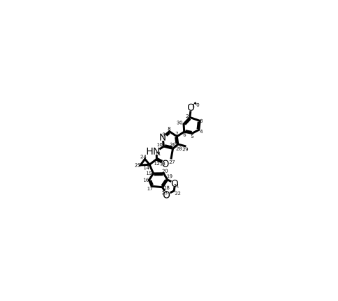 COc1cccc(-c2cnc(NC(=O)C3(c4ccc5c(c4)OCO5)CC3)c(C)c2C)c1